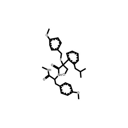 CNC(=O)C(Cc1ccc(OC)cc1)NC(=O)C(CCl)(SCc1ccc(OC)cc1)c1ccccc1CC(C)C